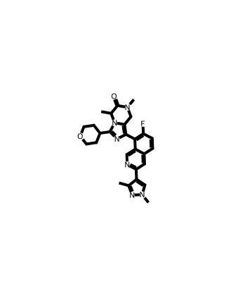 Cc1nn(C)cc1-c1cc2ccc(F)c(-c3nc(C4CCOCC4)n4c3CN(C)C(=O)C4C)c2cn1